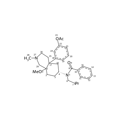 COC12CC[C@@H](N(CC(C)C)C(=O)c3ccccc3)CC1(c1cccc(OC(C)=O)c1)CCN(C)C2